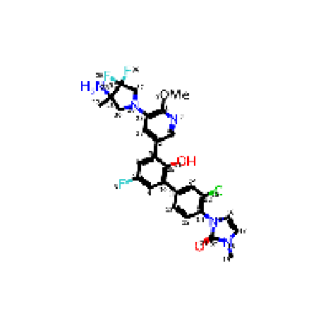 COc1ncc(-c2cc(F)cc(-c3ccc(-n4ccn(C)c4=O)c(Cl)c3)c2O)cc1N1CC(C)(N)C(F)(F)C1